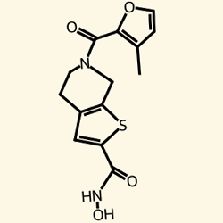 Cc1ccoc1C(=O)N1CCc2cc(C(=O)NO)sc2C1